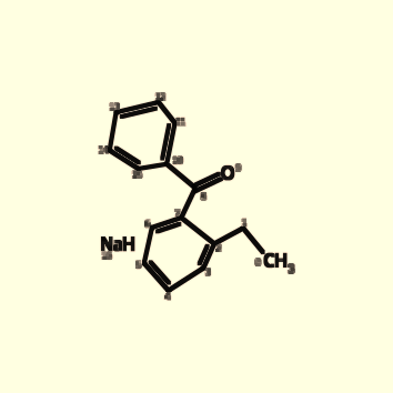 CCc1ccccc1C(=O)c1ccccc1.[NaH]